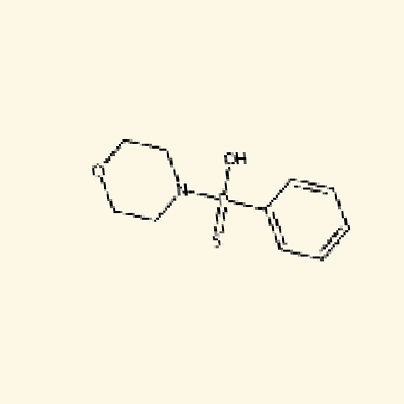 OP(=S)(c1ccccc1)N1CCOCC1